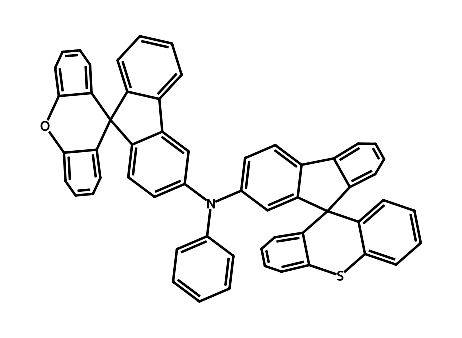 c1ccc(N(c2ccc3c(c2)-c2ccccc2C32c3ccccc3Oc3ccccc32)c2ccc3c(c2)C2(c4ccccc4Sc4ccccc42)c2ccccc2-3)cc1